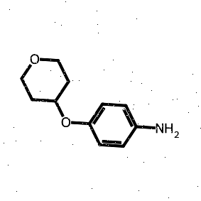 Nc1ccc(OC2CCOCC2)cc1